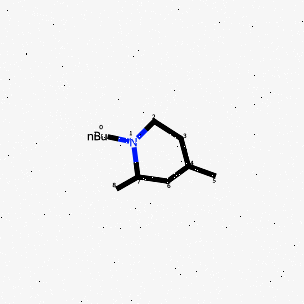 CCCCN1CCC(C)CC1C